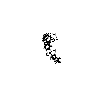 CN1C(=N)N[C@@]2(Cc3ccc(NC(=O)c4cn5ccsc5n4)cc32)C2(CC2)S1(=O)=O